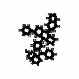 Cc1nc2cccc3c2n1-c1ccc(-c2c4ccccc4c(-c4ccc5ccccc5c4)c4ccc(-c5ccccc5)cc24)cc1N3c1ccccc1